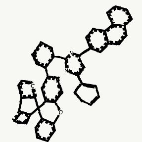 C1=CCCC(c2cc(-c3ccc4c(ccc5ccccc54)c3)nc(-c3ccccc3-c3ccc4c(c3)C3(c5ccccc5O4)c4ccccc4-c4ccccc43)n2)=C1